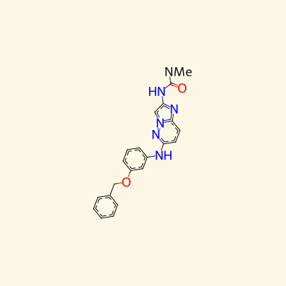 CNC(=O)Nc1cn2nc(Nc3cccc(OCc4ccccc4)c3)ccc2n1